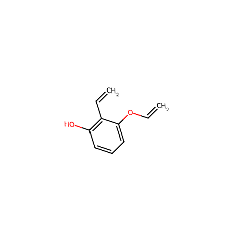 C=COc1cccc(O)c1C=C